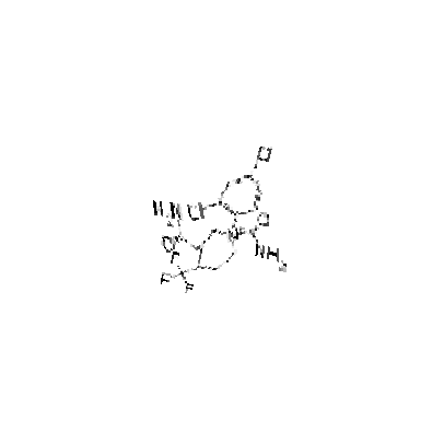 NC(=O)C1C[N+](C(N)=O)(c2ccc(Cl)cc2Cl)CCC1C(F)(F)F